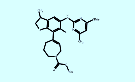 CNc1cc(C)nc(Nc2cc3c(c(C4=CCN(C(=O)OC(C)(C)C)CCC4)c2F)OCC3C)n1